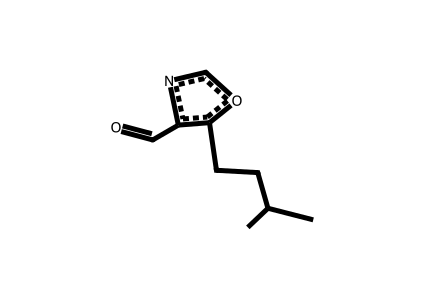 CC(C)CCc1ocnc1C=O